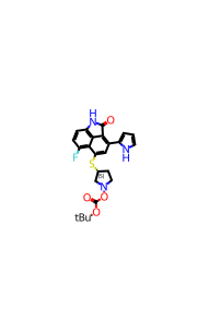 CC(C)(C)OC(=O)ON1CC[C@H](Sc2cc(-c3ccc[nH]3)c3c4c(ccc(F)c24)NC3=O)C1